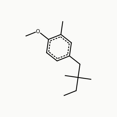 CCC(C)(C)Cc1ccc(OC)c(C)c1